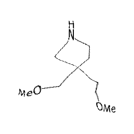 COCC1(COC)CNC1